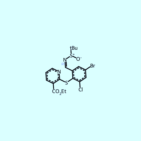 CCOC(=O)c1cccnc1Sc1c(Cl)cc(Br)cc1/C=N\[S+]([O-])C(C)(C)C